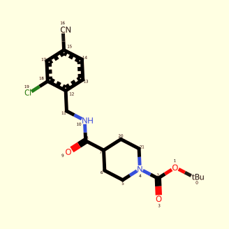 CC(C)(C)OC(=O)N1CCC(C(=O)NCc2ccc(C#N)cc2Cl)CC1